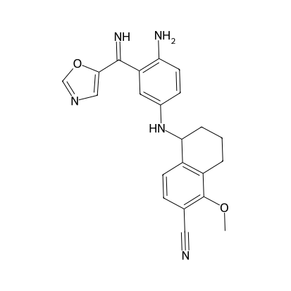 COc1c(C#N)ccc2c1CCCC2Nc1ccc(N)c(C(=N)c2cnco2)c1